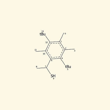 Cc1c(C)c(C(C)(C)C)c(C(C)S)c(C)c1C(C)(C)C